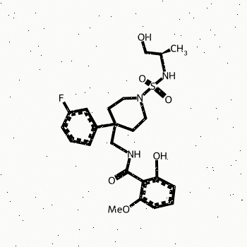 COc1cccc(O)c1C(=O)NCC1(c2cccc(F)c2)CCN(S(=O)(=O)N[C@H](C)CO)CC1